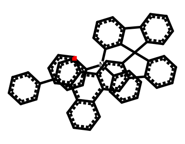 c1ccc(-c2ccc(N(c3ccccc3)c3cccc4c3C3(c5ccccc5-c5cc6c7ccccc7c7ccccc7c6cc53)c3ccccc3-4)cc2)cc1